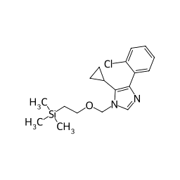 C[Si](C)(C)CCOCn1cnc(-c2ccccc2Cl)c1C1CC1